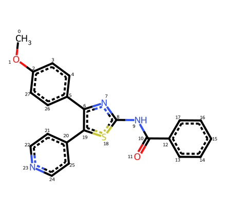 COc1ccc(-c2nc(NC(=O)c3ccccc3)sc2-c2ccncc2)cc1